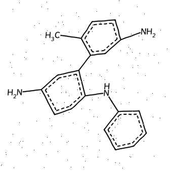 Cc1ccc(N)cc1-c1cc(N)ccc1Nc1ccccc1